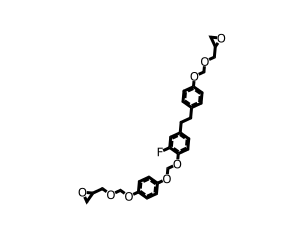 Fc1cc(CCc2ccc(OCOCC3CO3)cc2)ccc1OCOc1ccc(OCOCC2CO2)cc1